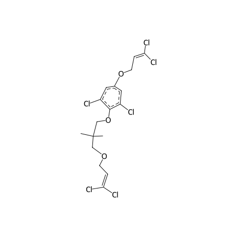 CC(C)(COCC=C(Cl)Cl)COc1c(Cl)cc(OCC=C(Cl)Cl)cc1Cl